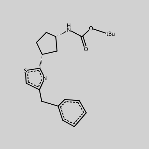 CC(C)(C)OC(=O)N[C@H]1CC[C@@H](c2nc(Cc3ccccc3)cs2)C1